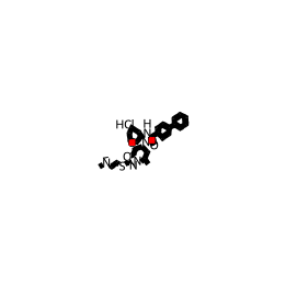 CC(C)CC(C(=O)c1nnc(SCCN(C)C)o1)N(C=O)C1(NC(=O)c2ccc(-c3ccccc3)cc2)CCCCC1.Cl